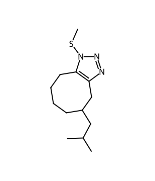 CSn1nnc2c1CCCCC(CC(C)C)C2